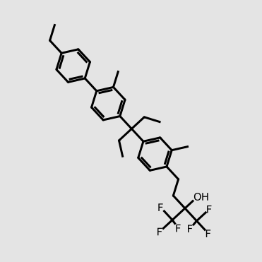 CCc1ccc(-c2ccc(C(CC)(CC)c3ccc(CCC(O)(C(F)(F)F)C(F)(F)F)c(C)c3)cc2C)cc1